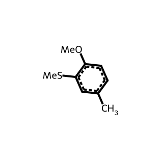 COc1ccc(C)cc1SC